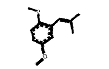 COc1ccc(OC)c(C=C(C)C)c1